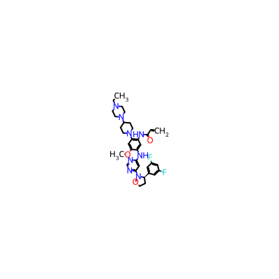 C=CC(=O)Nc1cc(Nc2cc(N3OCC[C@@H]3c3cc(F)cc(F)c3)ncn2)c(OC)cc1N1CCC(N2CCN(CC)CC2)CC1